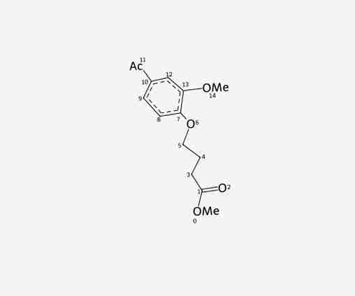 COC(=O)CCCOc1ccc(C(C)=O)cc1OC